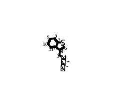 [N-]=[N+]=NCc1csc2ccccc12